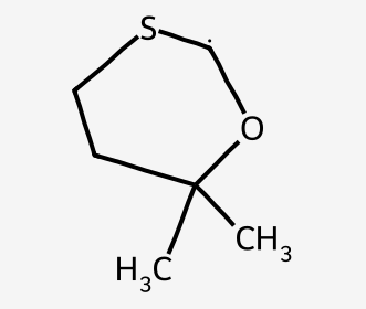 CC1(C)CCS[CH]O1